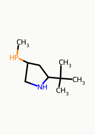 CPC1CNC(C(C)(C)C)C1